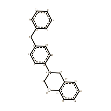 c1ccc(Cc2ccc(N3COc4ccccc4C3)cc2)cc1